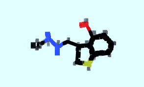 CNNCc1csc2cccc(O)c12